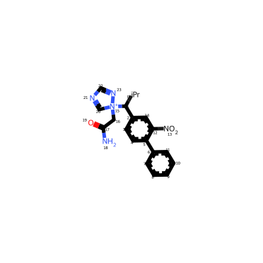 CC(C)C(c1ccc(-c2ccccc2)c([N+](=O)[O-])c1)[N+]1(CC(N)=O)C=NC=N1